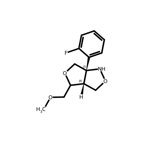 COCC1OC[C@]2(c3ccccc3F)NOC[C@H]12